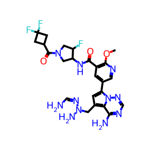 COc1ncc(-c2cc(CN(N)/N=C\N)c3c(N)ncnn23)cc1C(=O)NC1CN(C(=O)C2CC(F)(F)C2)CC1F